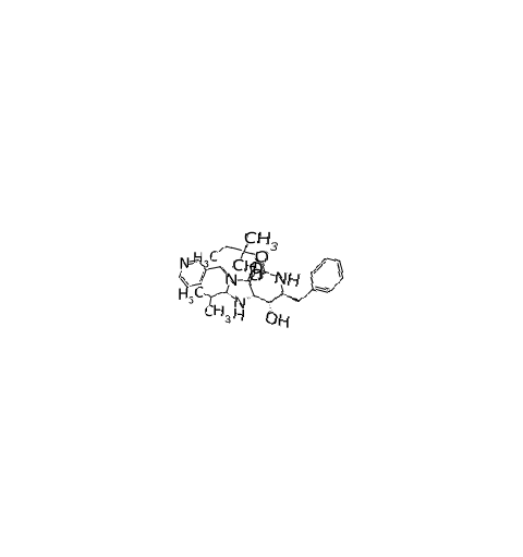 CCC(C)(C)OC(=O)N[C@@H](Cc1ccccc1)[C@H](O)[C@@H]1NC(C(C)C)N(Cc2cccnc2)C1=O